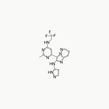 Cc1nc(NCC(F)(F)F)cc(-c2c(Nc3ccn[nH]3)nc3cccnn23)n1